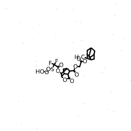 CC1(OC(=O)COC(=O)C2C3CC4C(OC(=O)C42)C3OC(=O)C(F)(F)SOOO)C2CC3CC(C2)CC1C3